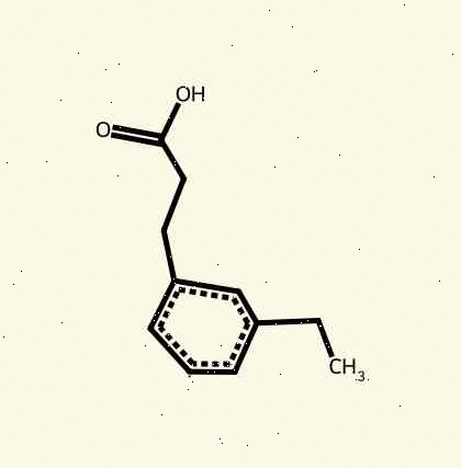 CCc1c[c]cc(CCC(=O)O)c1